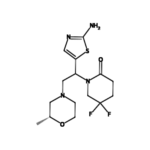 C[C@@H]1CN(CC(c2cnc(N)s2)N2CC(F)(F)CCC2=O)CCO1